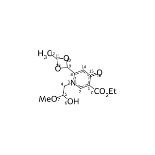 CCOC(=O)c1cn(CC(O)OC)c(C2OC(C)O2)cc1=O